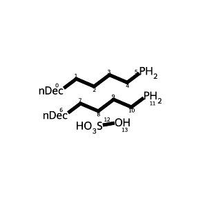 CCCCCCCCCCCCCCP.CCCCCCCCCCCCCCP.O=S(=O)(O)O